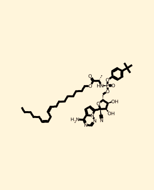 CCCCC/C=C\C/C=C\CCCCCCCCOC(=O)[C@H](C)N[P@@](=O)(OC[C@H]1O[C@@](C#N)(c2ccc3c(N)ncnn23)[C@H](O)[C@@H]1O)Oc1ccc(C(C)(C)C)cc1